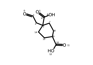 O=CCC1(C(=O)O)CCC(C(=O)O)CC1